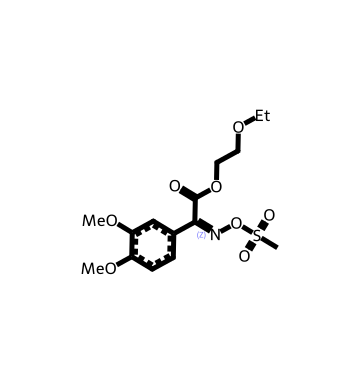 [CH2]COCCOC(=O)/C(=N\OS(C)(=O)=O)c1ccc(OC)c(OC)c1